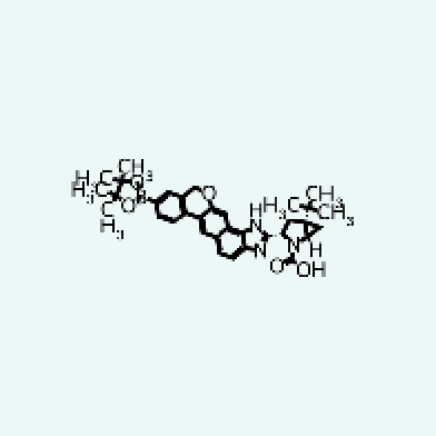 CC1(C)OB(c2ccc3c(c2)COc2cc4c(ccc5nc([C@@H]6C[C@@]7(C(C)(C)C)C[C@H]7N6C(=O)O)[nH]c54)cc2-3)OC1(C)C